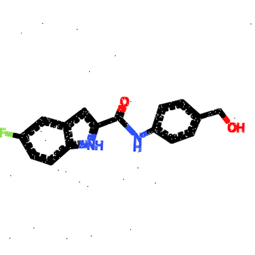 O=C(Nc1ccc(CO)cc1)c1cc2cc(F)ccc2[nH]1